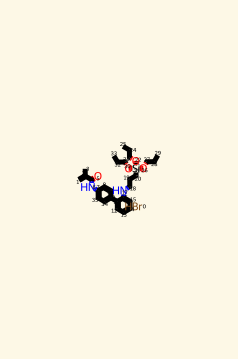 Br.C=C(C)C(=O)Nc1ccc(-c2ccccc2NCCC[Si](OCCC)(OCCC)OCCC)cc1